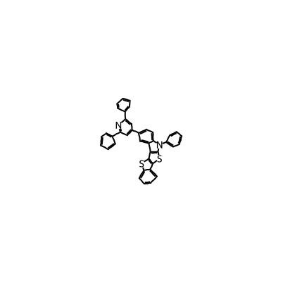 c1ccc(-c2cc(-c3ccc4c(c3)c3c5sc6ccccc6c5sc3n4-c3ccccc3)cc(-c3ccccc3)n2)cc1